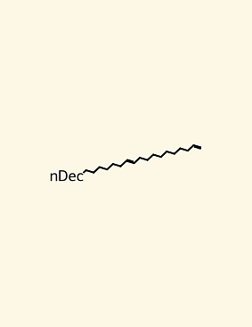 C=CCCCCCCCCC=CCCCCCCCCCCCCCCCC